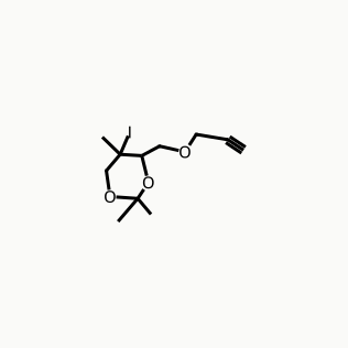 C#CCOCC1OC(C)(C)OCC1(C)I